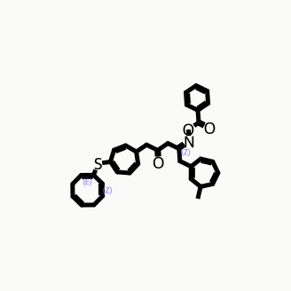 CC1C=CC=CC(C/C(CC(=O)CC2C=CC=C(SC3=C/CC=CC/C=C\3)C=C2)=N/OC(=O)c2ccccc2)=C1